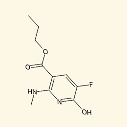 CCCOC(=O)c1cc(F)c(O)nc1NC